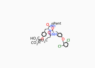 CCCCCNC(=O)[C@H](Cc1ccc(OC(C(=O)O)C(=O)O)cc1)NC(=O)[C@H](Cc1ccc(OCc2c(Cl)cccc2Cl)cc1)NC(=O)CCC(=O)O